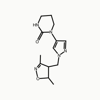 CC1=NOC(C)C1Cn1cc(N2CCCNC2=O)cn1